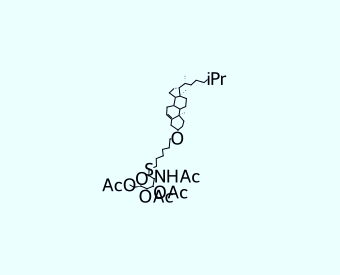 CC(=O)N[C@@H]1[C@@H](OC(C)=O)[C@@H](OC(C)=O)[C@@H](COC(C)=O)O[C@H]1SCCCCCCO[C@H]1CC[C@@]2(C)C(=CCC3C2CC[C@@]2(C)C3CC[C@@H]2[C@H](C)CCCC(C)C)C1